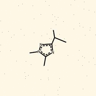 Cc1nc(C(C)C)nn1C